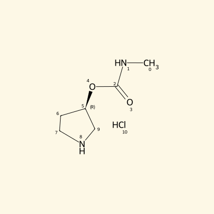 CNC(=O)O[C@@H]1CCNC1.Cl